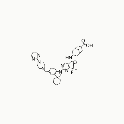 CC(F)(F)c1nc(N2CC3(CCCCC3)c3cc(CN4CCN(c5ncccn5)CC4)ccc32)ncc1C(=O)NC1CC2CC(C1)CC(C(=O)O)C2